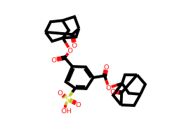 O=C(OC12CC3CC(C1)C(=O)C(C3)C2)c1cc(C(=O)OC23CC4CC(C2)C(=O)C(C4)C3)cc(S(=O)(=O)O)c1